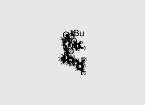 CC1=C(C)C(=O)N(C[C@H]2CN(C(=O)OC(C)(C)C)[C@H](C)CN2CC(=O)N2CC(C)(C)c3cnc(Cc4ccc(F)cc4F)cc32)C1